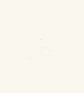 NC(=O)Oc1cc(F)ccc1C1CCCC1